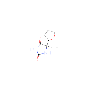 CC1(C2CCCO2)NC(=O)NC1=O